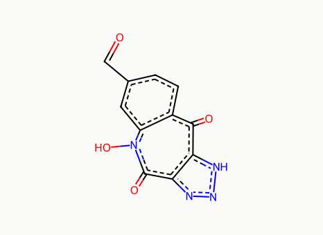 O=Cc1ccc2c(=O)c3[nH]nnc3c(=O)n(O)c2c1